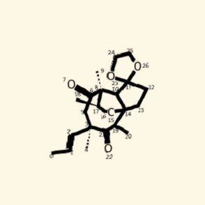 C/C=C/[C@@]1(C)CC(=O)[C@@]2(C)C3C4(CCC3(CC[C@H]2C)C(C)C1=O)OCCO4